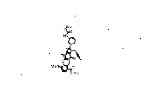 CC#CCn1c(N2CCC[C@@H](NC(=O)OC(C)(C)C)C2)nc2c1c(=O)n(Cc1nc(NC)ccc1C(=O)OC)c(=O)n2C